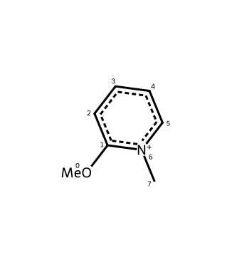 COc1cccc[n+]1C